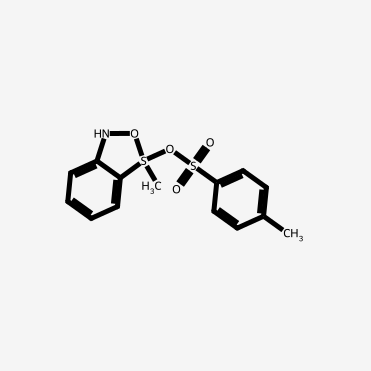 Cc1ccc(S(=O)(=O)OS2(C)ONc3ccccc32)cc1